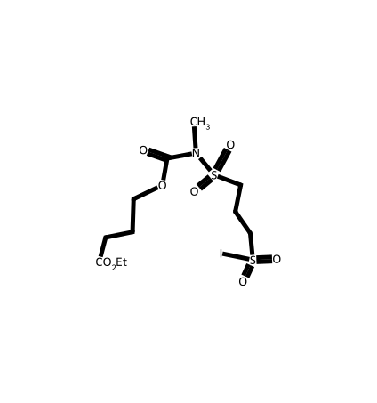 CCOC(=O)CCCOC(=O)N(C)S(=O)(=O)CCCS(=O)(=O)I